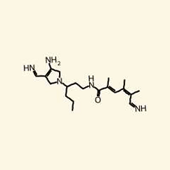 CCCC(CCNC(=O)/C(C)=C/C(C)=C(/C)C=N)N1CC(N)=C(C=N)C1